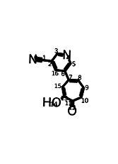 N#Cc1cncc(-c2cccc(=O)c(O)c2)c1